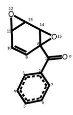 O=C(c1ccccc1)C12C=CC3OC3C1O2